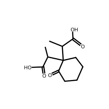 CC(C(=O)O)C1(C(C)C(=O)O)CCCCC1=O